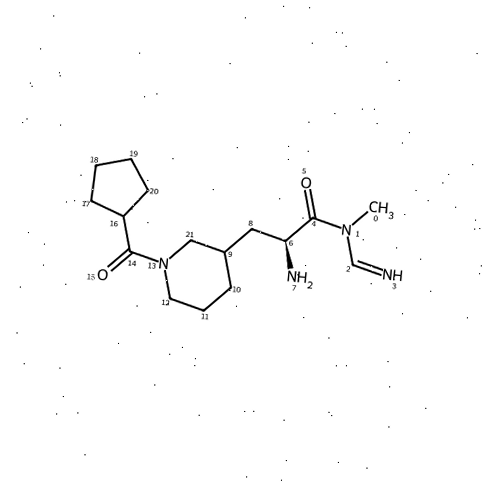 CN(C=N)C(=O)[C@@H](N)CC1CCCN(C(=O)C2CCCC2)C1